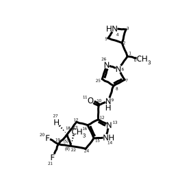 CC(C1CNC1)n1cc(NC(=O)c2n[nH]c3c2C[C@@H]2C(F)(F)[C@]2(C)C3)cn1